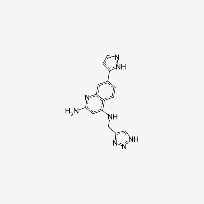 Nc1cc(NCc2c[nH]nn2)c2ccc(-c3ccn[nH]3)cc2n1